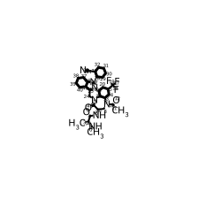 CN[C@@H](C)C(=O)N[C@H]1CN(C(C)=O)c2cc(C(F)(F)F)ccc2N(Cc2nn(-c3ccccc3C#N)c3ccccc23)C1=O